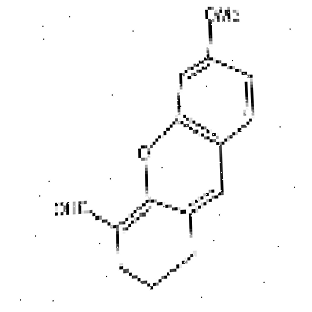 COc1ccc2c(c1)OC1=C(C=O)CCCC1=C2